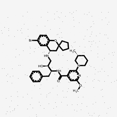 COc1cc(C(=O)N[C@@H](Cc2ccccc2)[C@@H](O)CN[C@H]2CC3(CCCC3)Oc3ccc(Br)cc32)cc(N2CCC[C@@H](C)C2)n1